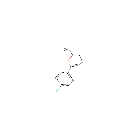 O=CC1CCC=C(c2ccc(F)cc2)O1